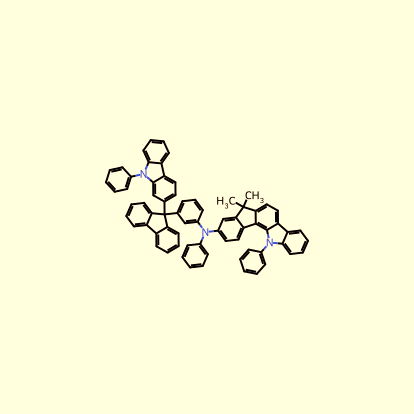 CC1(C)c2cc(N(c3ccccc3)c3cccc(C4(c5ccc6c7ccccc7n(-c7ccccc7)c6c5)c5ccccc5-c5ccccc54)c3)ccc2-c2c1ccc1c3ccccc3n(-c3ccccc3)c21